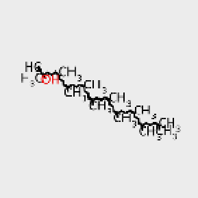 C#CC(C)(O)CCC=C(C)CCC=C(C)CCC=C(C)CCC=C(C)CCC=C(C)CCC=C(C)CCC=C(C)CCC=C(C)CCC=C(C)C